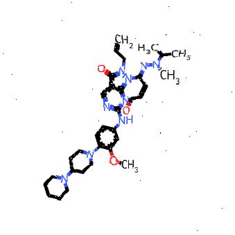 C=CCn1c(=O)c2cnc(Nc3ccc(N4CCC(N5CCCCC5)CC4)c(OC)c3)nc2n1C(/C=C\C=O)=N/N(C)C(C)C